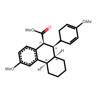 COC(=O)[C@@H]1c2ccc(OC)cc2[C@@H]2CCCC[C@@H]2[C@@H]1C1C=CC(OC)=CC1